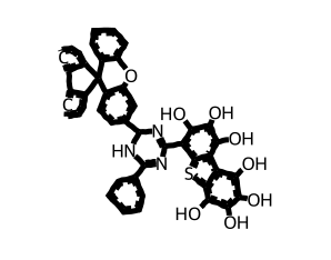 Oc1c(O)c(O)c2c(sc3c(C4=NC(c5ccc6c(c5)Oc5ccccc5C65c6ccccc6-c6ccccc65)NC(c5ccccc5)=N4)c(O)c(O)c(O)c32)c1O